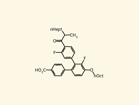 CCCCCCCCOc1ccc(-c2ccc(C(=O)O)cc2)c(-c2ccc(C(=O)C(C)CCCCCCC)c(F)c2)c1F